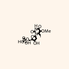 COc1c(I)n([C@H]2C[C@H](O)[C@@H](COP(=O)(O)O)O2)c(=O)[nH]c1=O